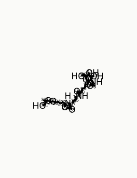 CC(=O)NC1C(OCCCCC(=O)NCCCC[C@@H](NC(=O)CCCCOCOC(C)CO)C(C)=O)OC(CO)C(O)C1O